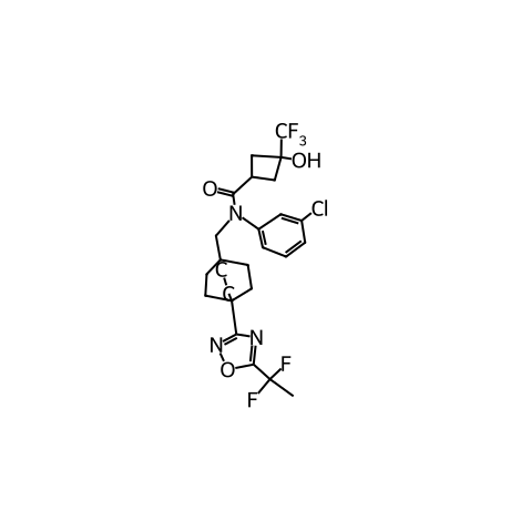 CC(F)(F)c1nc(C23CCC(CN(C(=O)C4CC(O)(C(F)(F)F)C4)c4cccc(Cl)c4)(CC2)CC3)no1